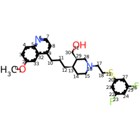 COc1ccc2nccc(CCC[C@@H]3CCN(CCSc4cc(F)cc(F)c4)C[C@@H]3CO)c2c1